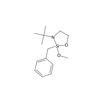 CO[Si]1(Cc2ccccc2)OCCN1C(C)(C)C